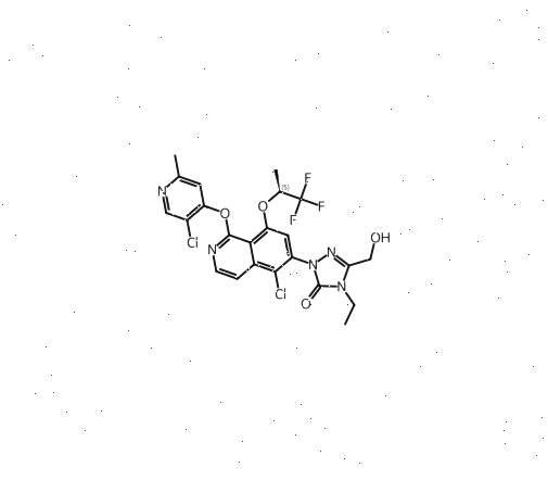 CCn1c(CO)nn(-c2cc(O[C@@H](C)C(F)(F)F)c3c(Oc4cc(C)ncc4Cl)nccc3c2Cl)c1=O